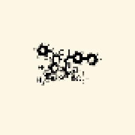 CC([C@H](O)C(=O)N[C@@H](Cc1ccccc1)[C@@H](O)C[C@H](Cc1ccc(-c2ccccn2)cc1)NC(=O)[C@@H](N(C)C(=O)O)C(C)(C)C)S(C)(=O)=O